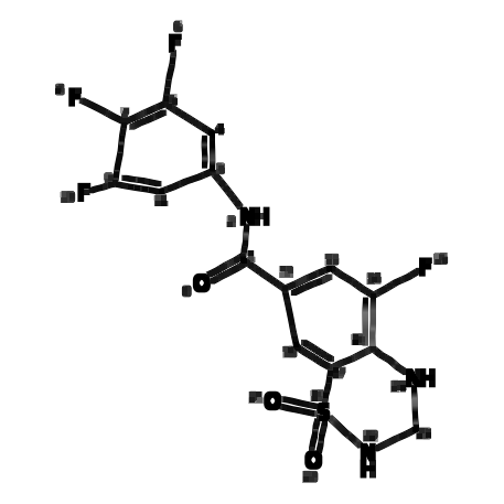 O=C(Nc1cc(F)c(F)c(F)c1)c1cc(F)c2c(c1)S(=O)(=O)NCN2